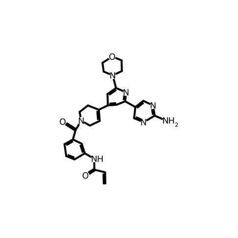 C=CC(=O)Nc1cccc(C(=O)N2CC=C(c3cc(-c4cnc(N)nc4)nc(N4CCOCC4)c3)CC2)c1